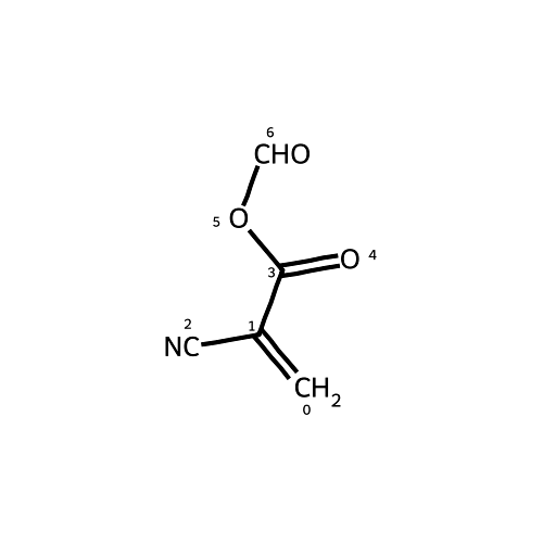 C=C(C#N)C(=O)OC=O